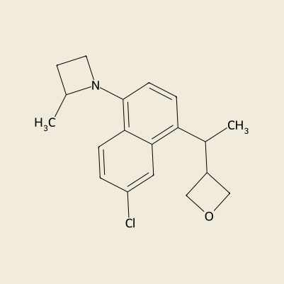 CC(c1ccc(N2CCC2C)c2ccc(Cl)cc12)C1COC1